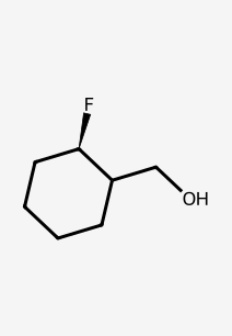 OCC1CCCC[C@H]1F